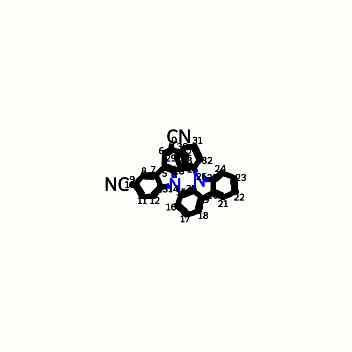 N#Cc1ccc2c(c1)c1cc(C#N)ccc1n2-c1cccc2c3ccccc3n(-c3ccccc3)c12